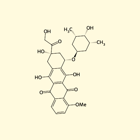 COc1cccc2c1C(=O)c1c(O)c3c(c(O)c1C2=O)C[C@@](O)(C(=O)CO)C[C@@H]3O[C@@H]1C[C@@H](C)[C@@H](O)[C@@H](C)C1